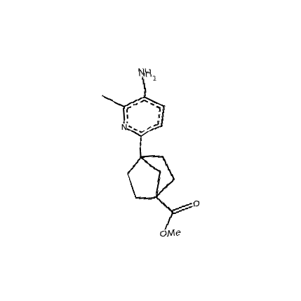 COC(=O)C12CCC(c3ccc(N)c(C)n3)(CC1)C2